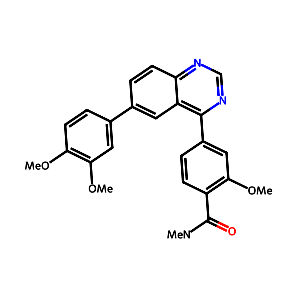 CNC(=O)c1ccc(-c2ncnc3ccc(-c4ccc(OC)c(OC)c4)cc23)cc1OC